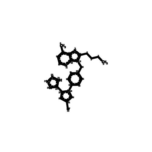 CCCCc1nc2c(C)ccnc2n1Cc1ccc(-n2cc(Br)cc2-c2nnn[nH]2)cc1